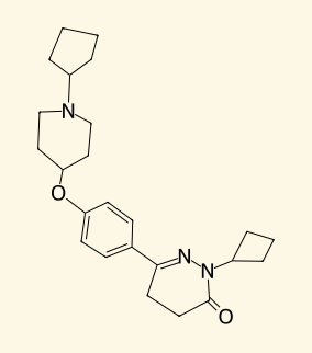 O=C1CCC(c2ccc(OC3CCN(C4CCCC4)CC3)cc2)=NN1C1CCC1